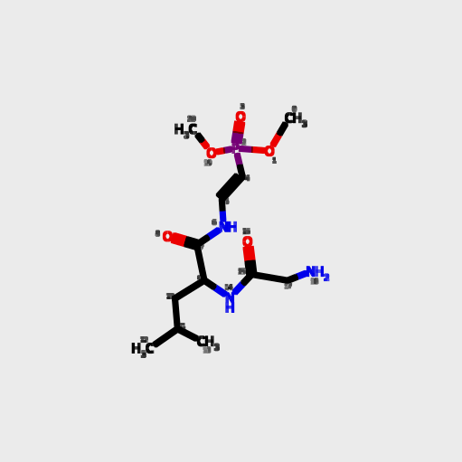 COP(=O)(/C=C/NC(=O)C(CC(C)C)NC(=O)CN)OC